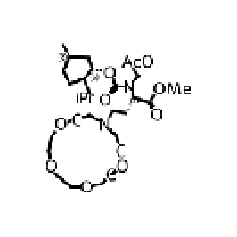 COC(=O)[C@H](CCN1CCOCCOCCOCCOCC1)N(COC(C)=O)C(=O)O[C@H]1C[C@H](C)CCC1C(C)C